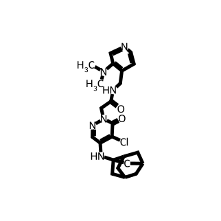 CN(C)c1cnccc1CNC(=O)Cn1ncc(NC23CC4CC(CC2C4)C3)c(Cl)c1=O